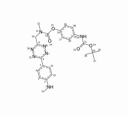 CNc1ccc(-c2nnc(CN(C)C(=O)Oc3ccc(NC(=O)OC(C)(C)C)cc3)nn2)cc1